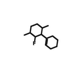 CC1CCC(C)C(C2=CCCCC2)C1F